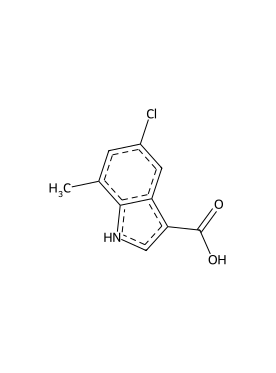 Cc1cc(Cl)cc2c(C(=O)O)c[nH]c12